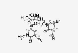 Cn1cc(B2OC(C)(C)C(C)(C)O2)cc(C#N)c1=O.Cn1cc(Br)cc(C#N)c1=O